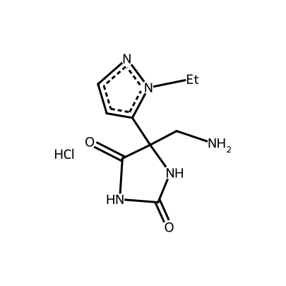 CCn1nccc1C1(CN)NC(=O)NC1=O.Cl